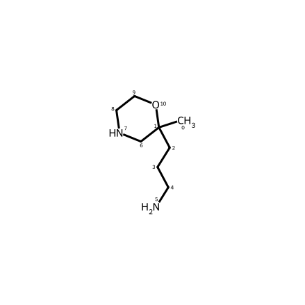 CC1(CCCN)CNCCO1